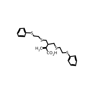 C=C(C(=O)O)C(CSCCSc1ccccc1)CSCCSc1ccccc1